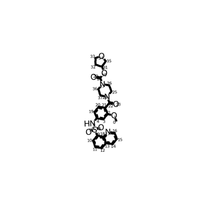 COc1cc(NS(=O)(=O)c2cccc3cccnc23)ccc1C(=O)N1CCN(C(=O)OC2CCOC2)CC1